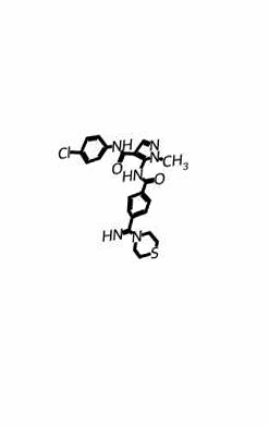 Cn1ncc(C(=O)Nc2ccc(Cl)cc2)c1NC(=O)c1ccc(C(=N)N2CCSCC2)cc1